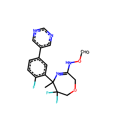 CC1(c2cc(-c3cncnc3)ccc2F)N=C(NOC=O)COCC1(F)F